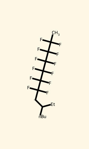 CCCCC([CH]C(F)(F)C(F)(F)C(F)(F)C(F)(F)C(F)(F)C(C)(F)F)CC